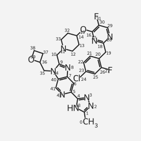 Cc1nnc(-c2cc3nc(CN4CCC(Oc5nc(Cc6ccc(Cl)cc6F)ncc5F)CC4)n(CC4CCO4)c3cn2)[nH]1